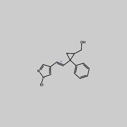 CCn1cc(/C=C/C2(c3ccccc3)CC2CO)cn1